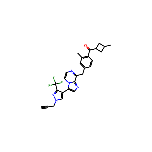 C#CCn1cc(-c2cnc3c(Cc4ccc(C(=O)C5CC(C)C5)c(C)c4)nccn23)c(C(F)(F)F)n1